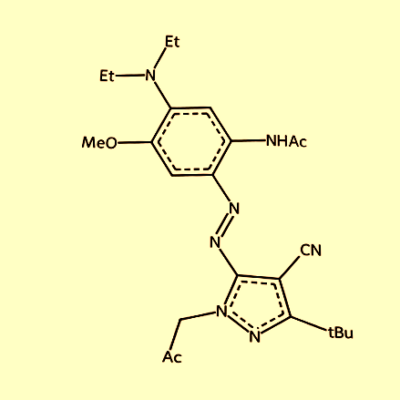 CCN(CC)c1cc(NC(C)=O)c(N=Nc2c(C#N)c(C(C)(C)C)nn2CC(C)=O)cc1OC